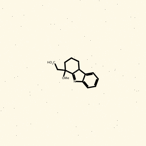 COC1(CC(=O)O)CCCC2C1=Nc1ccccc12